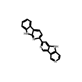 c1ccc2c(c1)[nH]c1nc(-c3cc4[nH]c5ccncc5c4cn3)ccc12